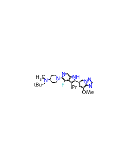 COc1cc(-c2[nH]c3cnc(N4CCC(N(C)CC(C)(C)C)CC4)c(F)c3c2C(C)C)cn2ncnc12